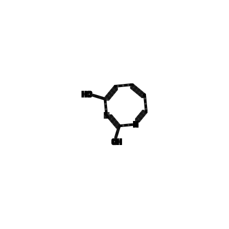 OC1=CC=CC=NC(O)=N1